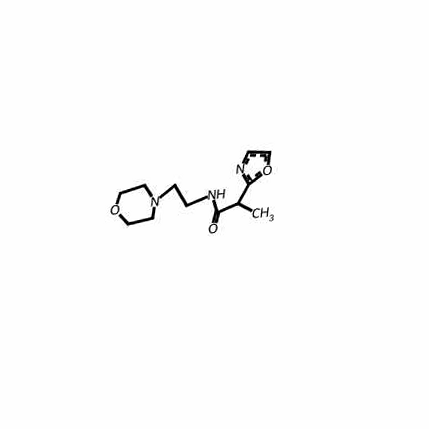 CC(C(=O)NCCN1CCOCC1)c1ncco1